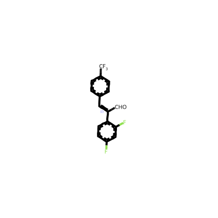 O=C/C(=C\c1ccc(C(F)(F)F)cc1)c1ccc(F)cc1F